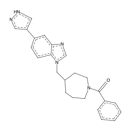 O=C(c1ccccc1)N1CCCC(Cn2cnc3cc(-c4cn[nH]c4)ccc32)CC1